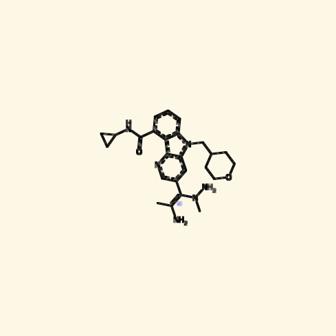 C/C(N)=C(\c1cnc2c3c(C(=O)NC4CC4)cccc3n(CC3CCOCC3)c2c1)N(C)N